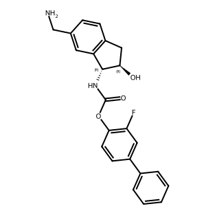 NCc1ccc2c(c1)[C@@H](NC(=O)Oc1ccc(-c3ccccc3)cc1F)[C@H](O)C2